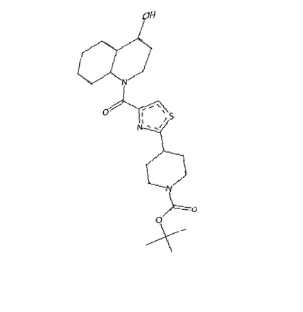 CC(C)(C)OC(=O)N1CCC(c2nc(C(=O)N3CCC(O)C4CCCCC43)cs2)CC1